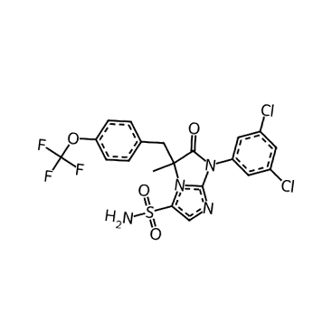 CC1(Cc2ccc(OC(F)(F)F)cc2)C(=O)N(c2cc(Cl)cc(Cl)c2)c2ncc(S(N)(=O)=O)n21